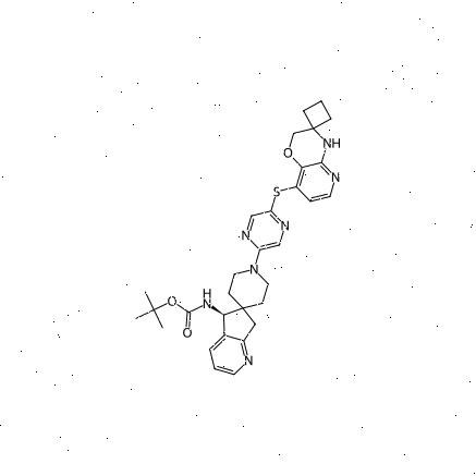 CC(C)(C)OC(=O)N[C@@H]1c2cccnc2CC12CCN(c1cnc(Sc3ccnc4c3OCC3(CCC3)N4)cn1)CC2